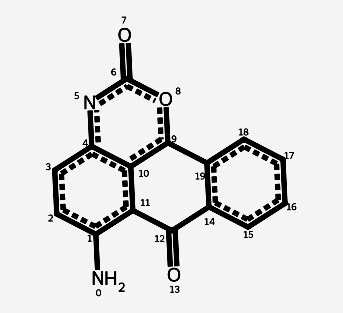 Nc1ccc2nc(=O)oc3c2c1C(=O)c1ccccc1-3